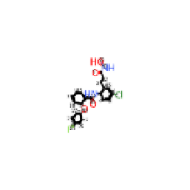 O=C(C=Cc1cc(Cl)ccc1NC(=O)c1ccccc1Oc1ccc(F)cc1)NO